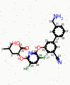 CC(C)CC(Oc1nc(Oc2cc(C#N)cc(-c3cccc(CN)c3)c2)c(F)cc1F)C(=O)O